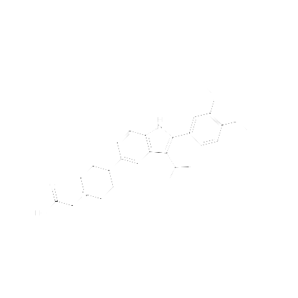 COc1ccc(-c2[nH]c3ccc(C4CCN(CC(=O)O)CC4)cc3c2C(C)C)cc1OC